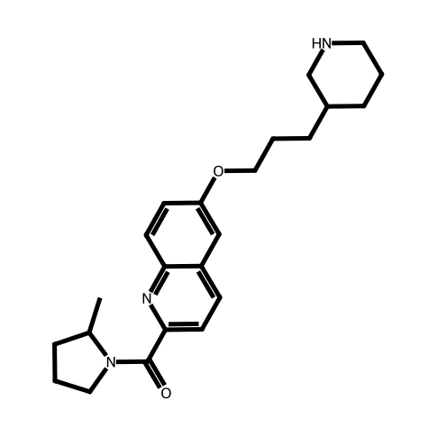 CC1CCCN1C(=O)c1ccc2cc(OCCCC3CCCNC3)ccc2n1